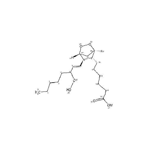 CCCCCC(C=C[C@@H]1[C@@H](CCCCCC(=O)O)[C@H]2C[C@H]1OO2)OO